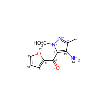 Cc1nn(C(=O)O)c(C(=O)c2ccco2)c1N